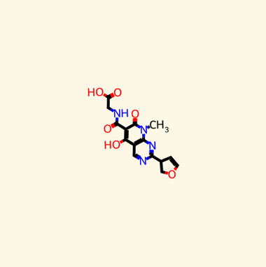 Cn1c(=O)c(C(=O)NCC(=O)O)c(O)c2cnc(C3C=COC3)nc21